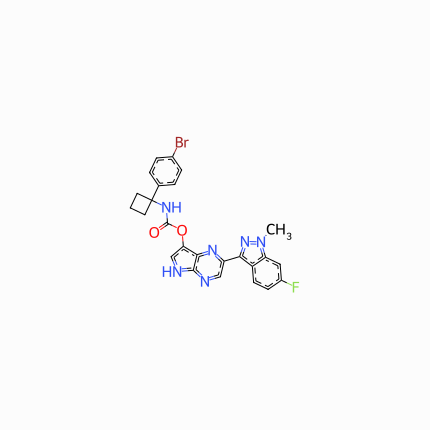 Cn1nc(-c2cnc3[nH]cc(OC(=O)NC4(c5ccc(Br)cc5)CCC4)c3n2)c2ccc(F)cc21